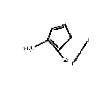 CC1=[C]([Zr])CC=C1.I[I-]I